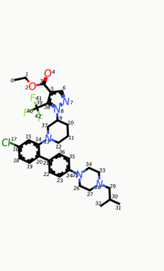 CCOC(=O)c1cnn(C2CCCN(c3cc(Cl)ccc3-c3ccc(N4CCN(CC(C)C)CC4)cc3)C2)c1C(F)(F)F